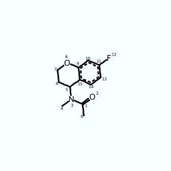 CC(=O)N(C)C1CCOc2cc(F)ccc21